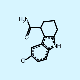 NC(=O)C1CCCc2[nH]c3ccc(Cl)cc3c21